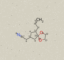 C=CCC1CC(CC#N)CC12OCCO2